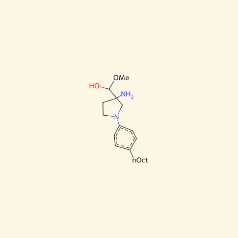 CCCCCCCCc1ccc(N2CCC(N)(C(O)OC)C2)cc1